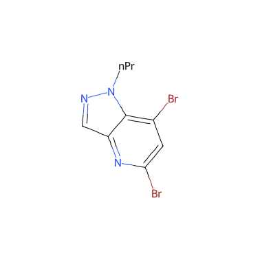 CCCn1ncc2nc(Br)cc(Br)c21